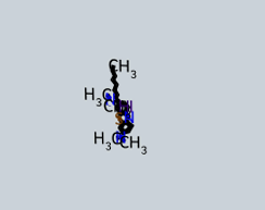 CCCCCCCC(=c1ccc2c(c1)Sc1cc(N(C)C)ccc1N=2)N(C)C.I